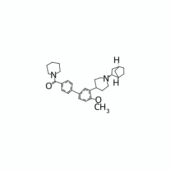 COc1ccc(-c2ccc(C(=O)N3CCCCC3)cc2)cc1C1CCN([C@H]2C[C@H]3CC[C@H]2C3)CC1